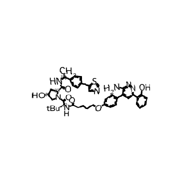 C[C@H](NC(=O)[C@@H]1C[C@@H](O)CN1C(=O)[C@@H](NC(=O)CCCCOc1ccc(-c2cc(-c3ccccc3O)nnc2N)cc1)C(C)(C)C)c1ccc(-c2cncs2)cc1